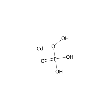 O=P(O)(O)OO.[Cd]